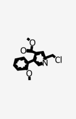 COC(=O)c1cc(CCl)ncc1-c1ccccc1OC